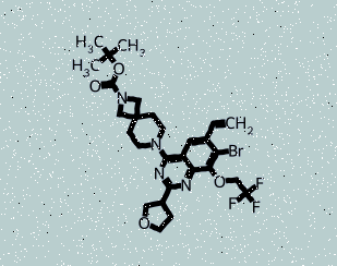 C=Cc1cc2c(N3CCC4(CC3)CN(C(=O)OC(C)(C)C)C4)nc(C3CCOC3)nc2c(OCC(F)(F)F)c1Br